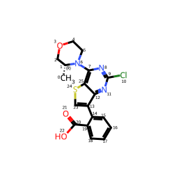 C[C@@H]1COCCN1c1nc(Cl)nc2c(-c3ccccc3C(=O)O)csc12